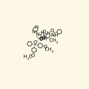 COc1ccc(C(OC[C@@]23CN(c4cnccn4)[C@@H]([C@H](n4cc(C)c(NC(=O)c5ccccc5)nc4=O)O2)[C@@H]3O)(c2ccccc2)c2ccc(OC)cc2)cc1